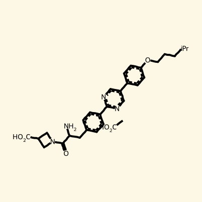 CC(=O)O.CC(C)CCCOc1ccc(-c2cnc(-c3ccc(CC(N)C(=O)N4CC(C(=O)O)C4)cc3)nc2)cc1